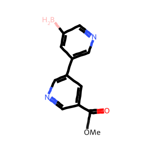 Bc1cncc(-c2cncc(C(=O)OC)c2)c1